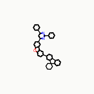 c1ccc(-c2cc(-c3ccc4oc5ccc(-c6ccc7c(c6)C6(CCCCC6)c6ccccc6-7)cc5c4c3)nc(-c3ccccc3)n2)cc1